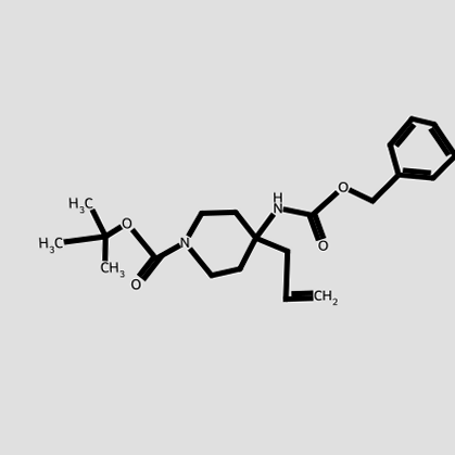 C=CCC1(NC(=O)OCc2ccccc2)CCN(C(=O)OC(C)(C)C)CC1